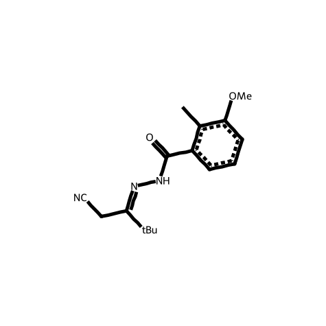 COc1cccc(C(=O)N/N=C(/CC#N)C(C)(C)C)c1C